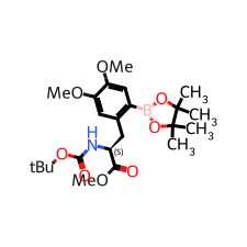 COC(=O)[C@H](Cc1cc(OC)c(OC)cc1B1OC(C)(C)C(C)(C)O1)NC(=O)OC(C)(C)C